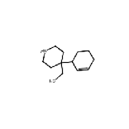 OCC1(C2C=CCCC2)CCNCC1